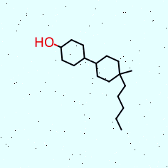 CCCCCC1(C)CCC(C2CCC(O)CC2)CC1